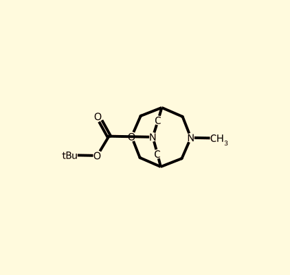 CN1CC2COCC(C1)CN(C(=O)OC(C)(C)C)C2